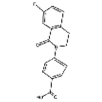 O=C(O)c1ccc(N2CCc3ccc(F)cc3C2=O)cc1